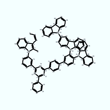 C/C=C\c1c(C)n(-c2cccc(-c3nc(-c4ccccc4)nc(-c4ccc(-c5ccc(-n6c7ccccc7c7ccccc76)c(-n6c7ccccc7c7cc(-n8c9ccccc9c9ccccc98)ccc76)c5)cc4)n3)c2)c2ccccc12